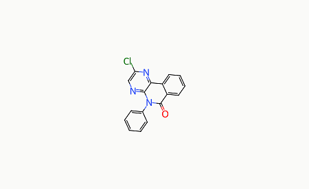 O=c1c2ccccc2c2nc(Cl)cnc2n1-c1ccccc1